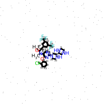 C1CNCCN1.CN(C(=O)C(C)(C)c1cc(C(F)(F)F)cc(C(F)(F)F)c1)c1cnc(N2CCNCC2)nc1Oc1ccccc1Cl